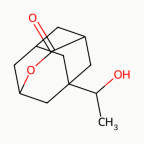 CC(O)C12CC3CC(C1)OC(=O)C(C3)C2